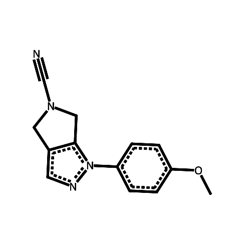 COc1ccc(-n2ncc3c2CN(C#N)C3)cc1